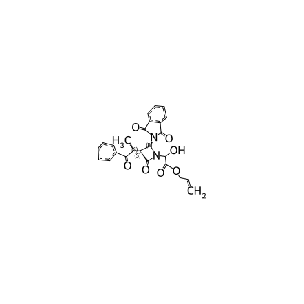 C=CCOC(=O)C(O)N1C(=O)[C@@H]([C@H](C)C(=O)c2ccccc2)[C@H]1N1C(=O)c2ccccc2C1=O